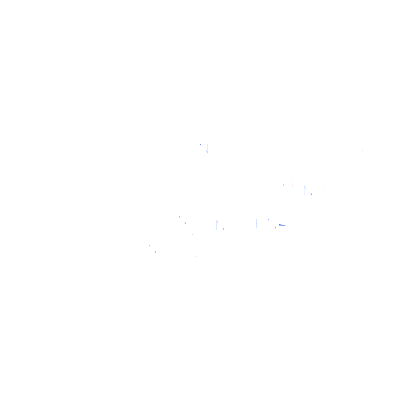 C=CC(=O)N[C@@H]1CCCC[C@H]1NC(=O)c1sc2nccc3c2c1NC(=O)N3c1ccc(Oc2ccccc2)cn1